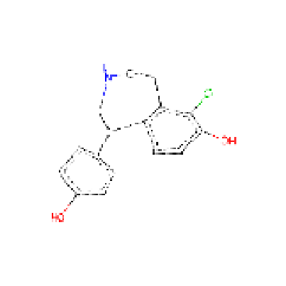 Oc1ccc(C2CNCCc3c2ccc(O)c3Cl)cc1